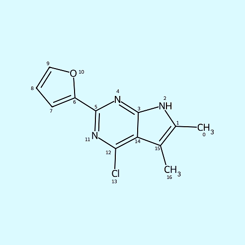 Cc1[nH]c2nc(-c3ccco3)nc(Cl)c2c1C